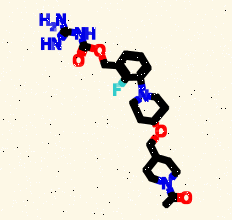 CC(=O)N1CCC(COC2CCN(c3cccc(COC(=O)NC(=N)N)c3F)CC2)CC1